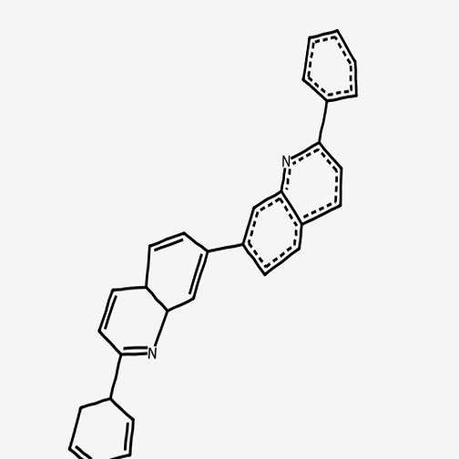 C1=CCC(C2=NC3C=C(c4ccc5ccc(-c6ccccc6)nc5c4)C=CC3C=C2)C=C1